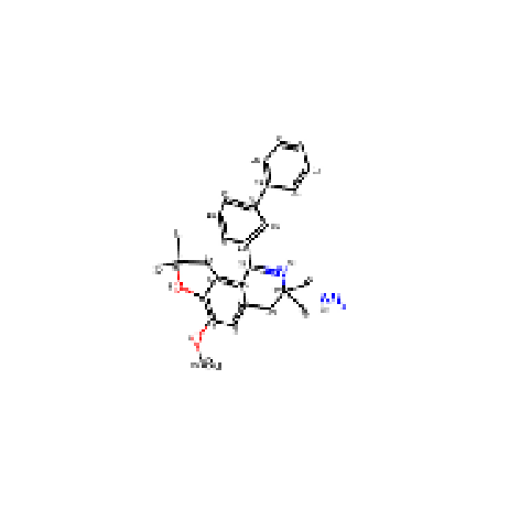 CCCCOc1cc2c(c3c1OC(C)(C)C3)C(c1cccc(-c3ccccc3)c1)=NC(C)(C)C2.N